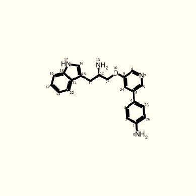 Nc1ccc(-c2cncc(OC[C@H](N)Cc3c[nH]c4ccccc34)c2)cc1